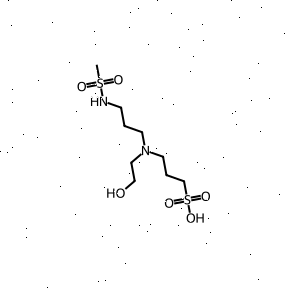 CS(=O)(=O)NCCCN(CCO)CCCS(=O)(=O)O